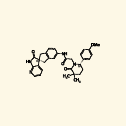 COc1ccc([C@@H]2CCC(C)(C)C(=O)N2CC(=O)Nc2ccc3c(c2)C[C@@]2(C3)C(=O)Nc3ncccc32)cc1